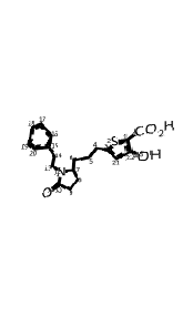 O=C(O)c1sc(CCCC2CCC(=O)N2CCc2ccccc2)cc1O